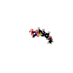 C=CCN(CC(=O)OC)S(=O)(=O)c1sc(C(CC)(CC)c2ccc(O[Si](C)(C)C(C)(C)C)c(C)c2)cc1C